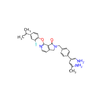 C=C(C)c1ccc(Oc2nccc3c2C(=O)N(Cc2ccc(C(/C=C(/C)N)=C/N)cc2)C3)c(F)c1